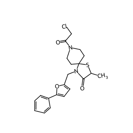 CC1SC2(CCN(C(=O)CCl)CC2)N(Cc2ccc(-c3ccccc3)o2)C1=O